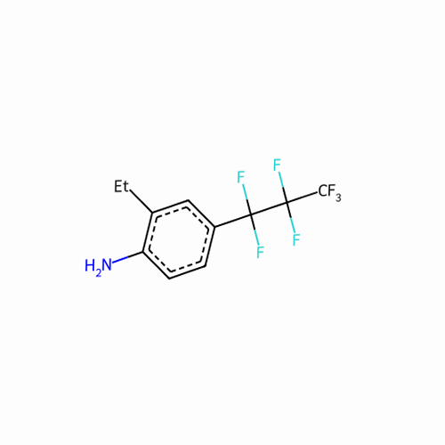 CCc1cc(C(F)(F)C(F)(F)C(F)(F)F)ccc1N